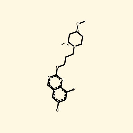 CO[C@H]1CCN(CCCOc2ncc3cc(Cl)cc(F)c3n2)[C@H](C)C1